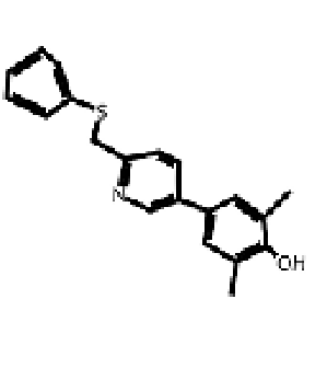 Cc1cc(-c2ccc(CSc3ccccc3)nc2)cc(C)c1O